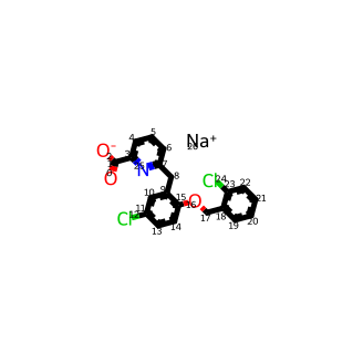 O=C([O-])c1cccc(Cc2cc(Cl)ccc2OCc2ccccc2Cl)n1.[Na+]